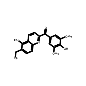 COc1cc(C(=O)c2ccc3c(O)c(CO)ccc3n2)cc(OC)c1O